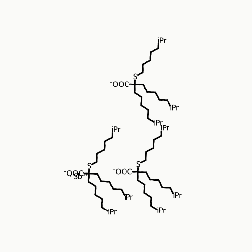 CC(C)CCCCCSC(CCCCCC(C)C)(CCCCCC(C)C)C(=O)[O-].CC(C)CCCCCSC(CCCCCC(C)C)(CCCCCC(C)C)C(=O)[O-].CC(C)CCCCCSC(CCCCCC(C)C)(CCCCCC(C)C)C(=O)[O-].[Sb+3]